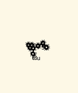 CC(C)(C)c1ccc(-c2cc(-c3ccc(-c4cccc5c4sc4ccccc45)cc3)c3ccc4cccc5ccc2c3c45)cc1